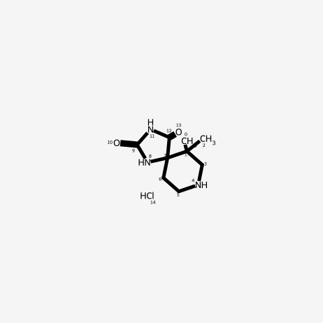 CC1(C)CNCCC12NC(=O)NC2=O.Cl